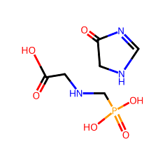 O=C(O)CNCP(=O)(O)O.O=C1CNC=N1